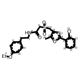 CCOc1ccc(CCNC(=O)CS(=O)(=O)Cc2nc(-c3ccccc3Cl)oc2C)cc1